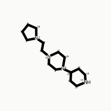 C1CCN(CCN2CCN(C3CCNCC3)CC2)C1